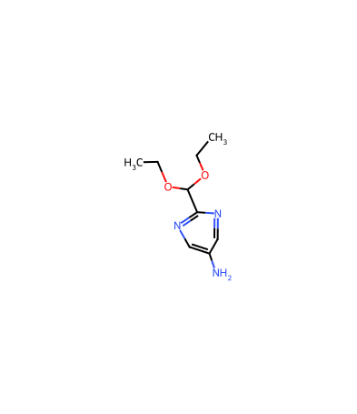 CCOC(OCC)c1ncc(N)cn1